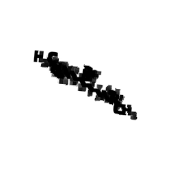 CC[n+]1ccn(CCCCCCCCn2cc[n+](CC)c2)c1.[Br-].[Br-]